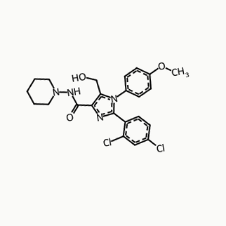 COc1ccc(-n2c(-c3ccc(Cl)cc3Cl)nc(C(=O)NN3CCCCC3)c2CO)cc1